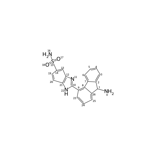 NC1c2ccccc2-c2c(-c3nc4cc(S(N)(=O)=O)ccc4[nH]3)cccc21